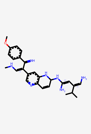 CN/C=C(\C(=N)c1ccc(OC)cc1)c1cnc2c(c1)NC(N/C(N)=C/C(=C\N)C(C)C)C=C2